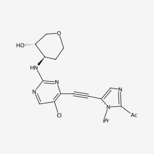 CC(=O)c1ncc(C#Cc2nc(N[C@@H]3CCOC[C@H]3O)ncc2Cl)n1C(C)C